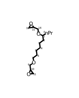 CCCC(CCCCCCOCC1CO1)OCC1CO1